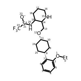 CCOc1ccccc1[C@H]1CC[C@@H](OCC2NCCCC2N[S+]([O-])C(F)(F)F)CC1